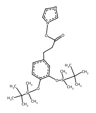 CC(C)(C)[Si](C)(C)Oc1ccc(CCC(=O)On2ccnc2)cc1O[Si](C)(C)C(C)(C)C